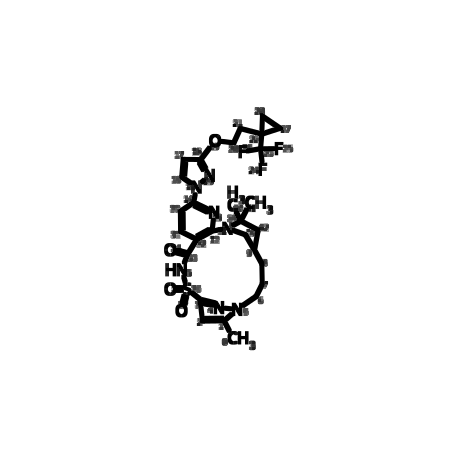 Cc1cc2nn1CCCC1CN(c3nc(-n4ccc(OCCC5(C(F)(F)F)CC5)n4)ccc3C(=O)NS2(=O)=O)C(C)(C)C1